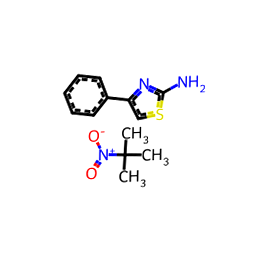 CC(C)(C)[N+](=O)[O-].Nc1nc(-c2ccccc2)cs1